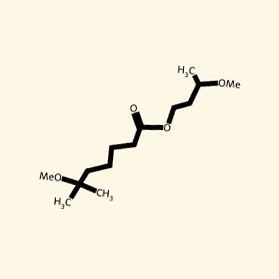 COC(C)CCOC(=O)CCCCC(C)(C)OC